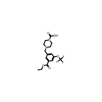 CCOC(=O)c1cc(CN2CCN(C(=O)O)CC2)cc(OC(F)(F)F)c1